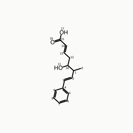 CC(/C=C/c1ccccc1)C(O)C/C=C/C(=O)O